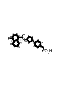 C[C@@H](N[C@H]1CC[C@@H](c2ccc(CC(=O)O)cc2)C1)c1ccc(F)c2ccccc12